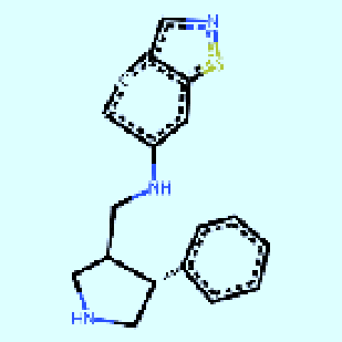 c1ccc([C@@H]2CNC[C@H]2CNc2ccc3cnsc3c2)cc1